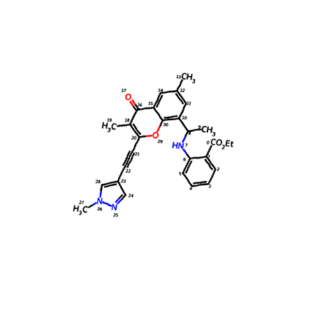 CCOC(=O)c1ccccc1NC(C)c1cc(C)cc2c(=O)c(C)c(C#Cc3cnn(C)c3)oc12